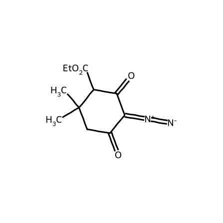 CCOC(=O)C1C(=O)C(=[N+]=[N-])C(=O)CC1(C)C